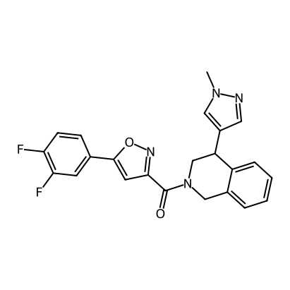 Cn1cc(C2CN(C(=O)c3cc(-c4ccc(F)c(F)c4)on3)Cc3ccccc32)cn1